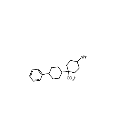 CCCC1CCC(C(=O)O)(C2CCC(c3ccccc3)CC2)CC1